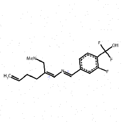 C=CCC/C(=C/N=C/c1ccc(C(O)(F)F)c(F)c1)CNC